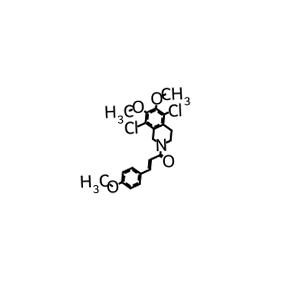 COc1ccc(/C=C/C(=O)N2CCc3c(Cl)c(OC)c(OC)c(Cl)c3C2)cc1